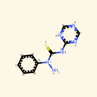 NN(C(=S)Nc1ncncn1)c1ccccc1